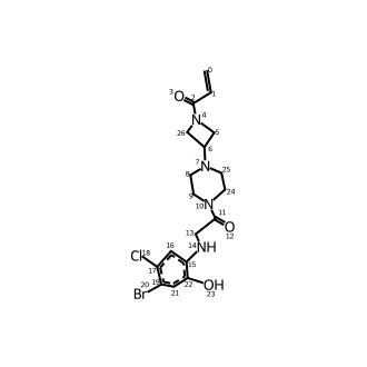 C=CC(=O)N1CC(N2CCN(C(=O)CNc3cc(Cl)c(Br)cc3O)CC2)C1